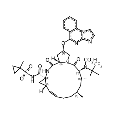 C[C@H]1CCC=C[C@@H]2C[C@@]2(C(=O)NS(=O)(=O)C2(C)CC2)NC(=O)[C@@H]2C[C@@H](Oc3nc4nccn4c4ccccc34)CN2C(=O)[C@@H](N(C(=O)O)C(C)(C)C(F)(F)F)[C@H](C)C1